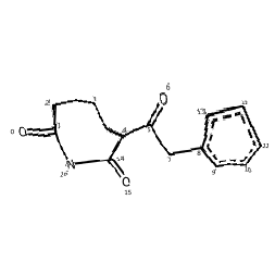 O=C1CCC(C(=O)Cc2ccccc2)C(=O)[N]1